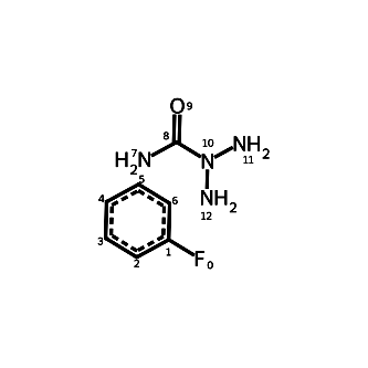 Fc1ccccc1.NC(=O)N(N)N